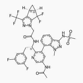 CC(=O)Nc1cnc([C@H](Cc2cc(F)cc(F)c2)NC(=O)Cn2nc(C(F)(F)F)c3c2C(F)(F)[C@@H]2C[C@H]32)c(-c2cccc3c(NS(C)(=O)=O)nn(C)c23)c1